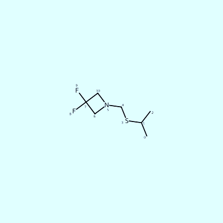 CC(C)SCN1CC(F)(F)C1